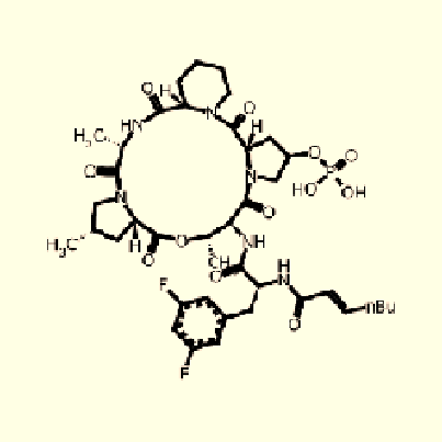 CCCC/C=C/C(=O)N[C@@H](Cc1cc(F)cc(F)c1)C(=O)N[C@@H]1C(=O)N2C[C@H](OP(=O)(O)O)C[C@H]2C(=O)N2CCCC[C@H]2C(=O)N[C@@H](C)C(=O)N2C[C@@H](C)C[C@H]2C(=O)O[C@H]1C